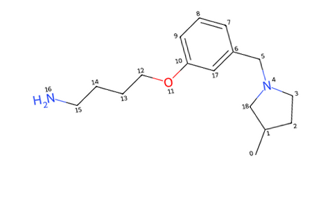 CC1CCN(Cc2cccc(OCCCCN)c2)C1